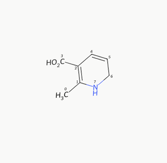 CC1=C(C(=O)O)C=CCN1